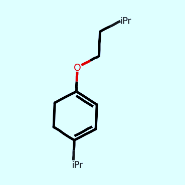 CC(C)CCOC1=CC=C(C(C)C)CC1